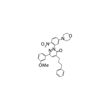 COc1cccc(-c2cc(CCCc3ccccc3)c(=O)n(-c3cc(N4CCOCC4)ccc3[N+](=O)[O-])n2)c1